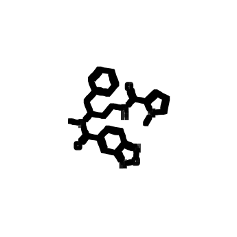 CN(C(=O)c1ccc2nonc2c1)C(CCNC(=O)c1cccn1C)Cc1ccccc1